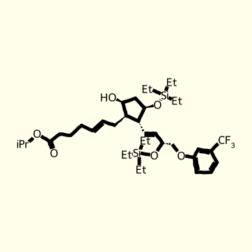 CC[Si](CC)(CC)O[C@H](C=C[C@@H]1[C@@H](CC=CCCCC(=O)OC(C)C)[C@@H](O)C[C@H]1O[Si](CC)(CC)CC)COc1cccc(C(F)(F)F)c1